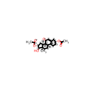 CC(=O)O[C@@H]1CC[C@@]2(C)C(=CC(=O)[C@H]3[C@@H]4C[C@@H](OC(C)=O)[C@H](O)[C@@]4(C)CC[C@@H]32)C1